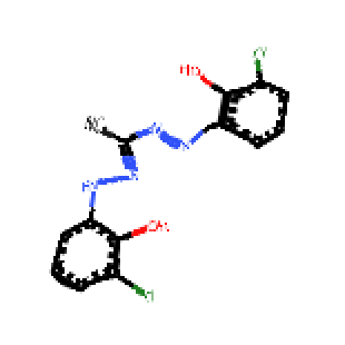 N#CC(N=Nc1cccc(Cl)c1O)=NNc1cccc(Cl)c1O